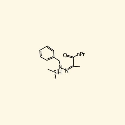 CCCC(=O)C(C)=NN(Cc1ccccc1)[SiH](C)C